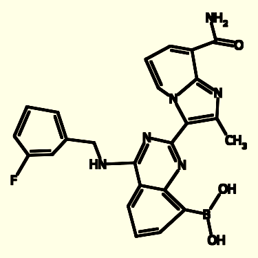 Cc1nc2c(C(N)=O)cccn2c1-c1nc(NCc2cccc(F)c2)c2cccc(B(O)O)c2n1